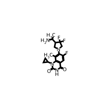 Cc1c(N2CC(C(C)N)C(F)(F)C2)c(F)cc2c(=O)[nH]c(=O)n(C3CC3)c12